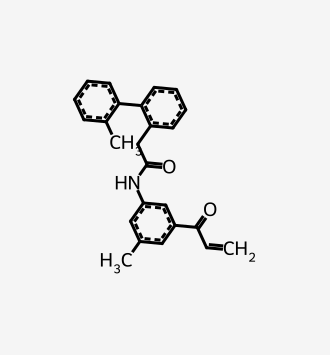 C=CC(=O)c1cc(C)cc(NC(=O)Cc2ccccc2-c2ccccc2C)c1